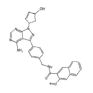 COc1cc2ccccc2cc1C(=O)NCc1ccc(-c2nn(C3C=CC(O)C3)c3ncnc(N)c23)cc1